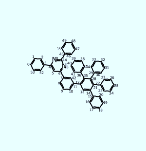 c1ccc(-c2cc(-c3cccc(-c4cc(-c5ccccc5)c(-c5ccccc5)c(-c5ccccc5)c4-c4ccccc4)c3)nc(-c3ccccc3)n2)cc1